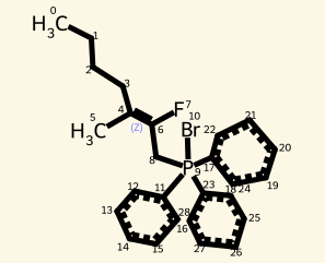 CCCC/C(C)=C(\F)CP(Br)(c1ccccc1)(c1ccccc1)c1ccccc1